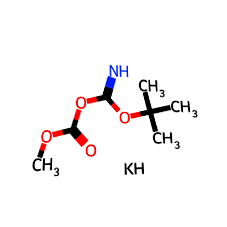 COC(=O)OC(=N)OC(C)(C)C.[KH]